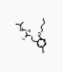 CCCCOc1ccc(F)cc1CCC(=O)NNC(C)C